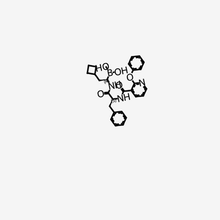 O=C(N[C@@H](Cc1ccccc1)C(=O)N[C@@H](CC1CCC1)B(O)O)c1cccnc1Oc1ccccc1